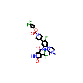 C[C@H]1CN(c2cc(F)c(C3=CCN(C(=O)OC4CC(F)(F)C4)CC3)cc2NC(=O)c2c[nH]c(=O)cc2C(F)F)CCN1C